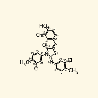 Cc1ccc(/N=C2\S/C(=C/c3ccc(O)c(Cl)c3)C(=O)N2c2ccc(C)c(Cl)c2)cc1Cl